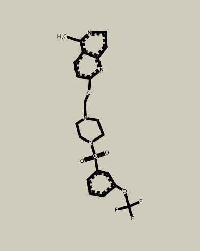 Cc1nccc2nc([CH]CN3CCN(S(=O)(=O)c4cccc(OC(F)(F)F)c4)CC3)ccc12